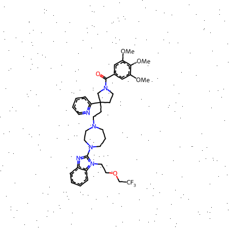 COc1cc(C(=O)N2CCC(CCN3CCCN(c4nc5ccccc5n4CCOCC(F)(F)F)CC3)(c3ccccn3)C2)cc(OC)c1OC